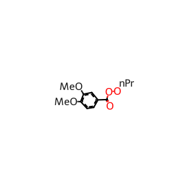 [CH2]CCOOC(=O)c1ccc(OC)c(OC)c1